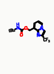 CC(C)(C)NC(=O)OCc1cccn2cc(C(F)(F)F)nc12